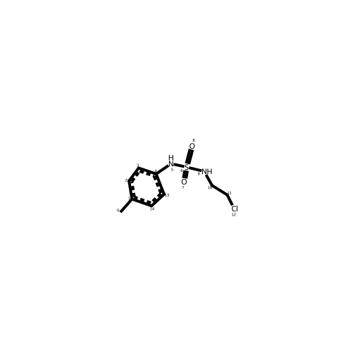 Cc1ccc(NS(=O)(=O)NCCCl)cc1